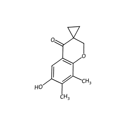 Cc1c(O)cc2c(c1C)OCC1(CC1)C2=O